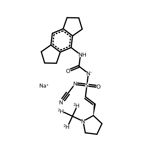 [2H]C([2H])([2H])N1CCC[C@@H]1/C=C/S(=O)(=NC#N)[N-]C(=O)Nc1c2c(cc3c1CCC3)CCC2.[Na+]